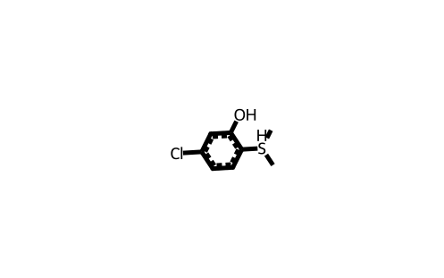 C[SH](C)c1ccc(Cl)cc1O